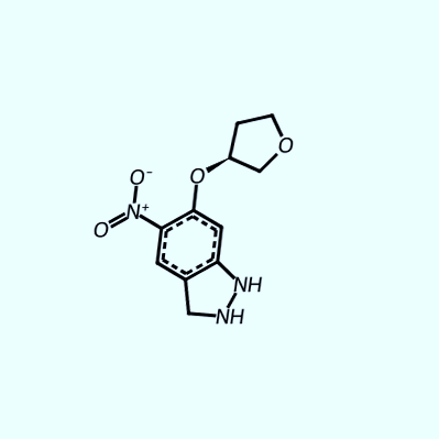 O=[N+]([O-])c1cc2c(cc1O[C@H]1CCOC1)NNC2